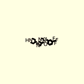 FC(F)(F)c1ccc(Oc2ncnc3c2cnn3C2CCNCC2)c(Cl)c1